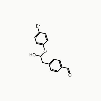 O=Cc1ccc(CC(O)Oc2ccc(Br)cc2)cc1